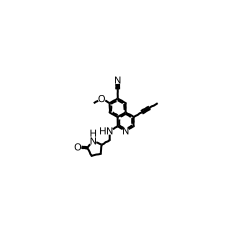 CC#Cc1cnc(NCC2CCC(=O)N2)c2cc(OC)c(C#N)cc12